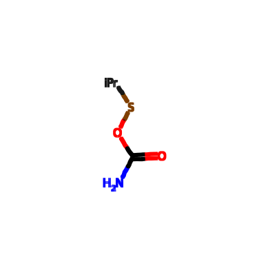 CC(C)SOC(N)=O